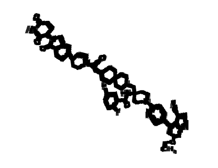 CCOc1cc(-c2ccc(N3CCC(CN4CCC5(CCC(CC(=O)N6CCC(c7ccc8c(c7)CN(C7CCC(=O)NC7=O)C8=O)CC6)CC5)CC4)(NC(=O)c4cc(F)ccc4F)CC3)nc2)c2c(C#N)cnn2c1